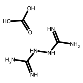 N=C(N)NNC(=N)N.O=C(O)O